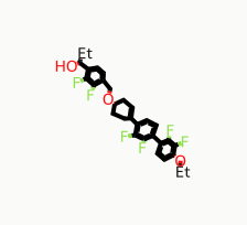 CCOc1ccc(-c2ccc(C3=CCC(OCc4ccc(C(O)CC)c(F)c4F)CC3)c(F)c2F)c(F)c1F